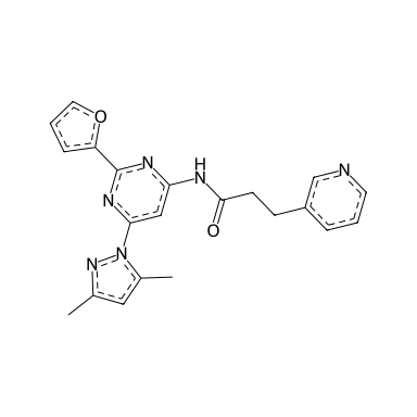 Cc1cc(C)n(-c2cc(NC(=O)CCc3cccnc3)nc(-c3ccco3)n2)n1